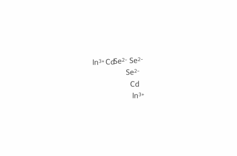 [Cd].[Cd].[In+3].[In+3].[Se-2].[Se-2].[Se-2]